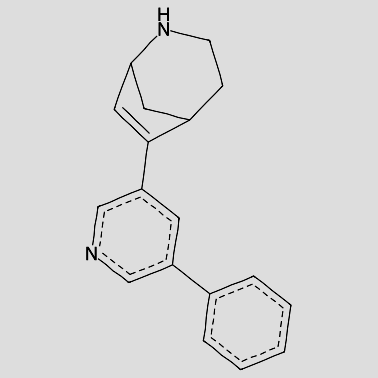 C1=C(c2cncc(-c3ccccc3)c2)C2CCNC1C2